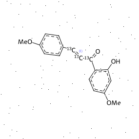 COc1ccc(/[13CH]=[13CH]/[13C](=O)c2ccc(OC)cc2O)cc1